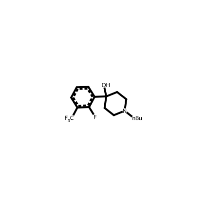 CCCCN1CCC(O)(c2cccc(C(F)(F)F)c2F)CC1